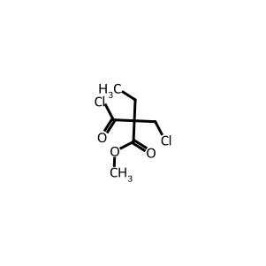 CCC(CCl)(C(=O)Cl)C(=O)OC